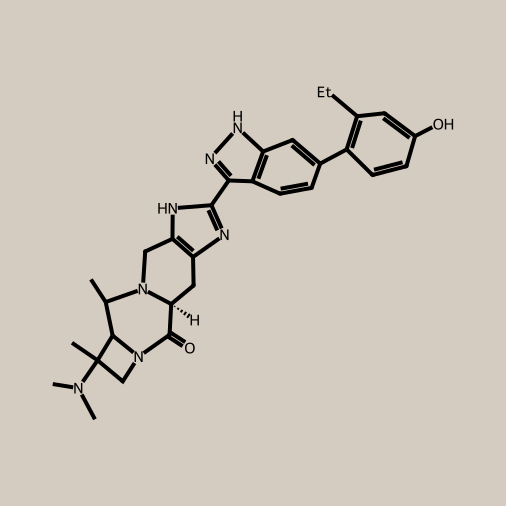 CCc1cc(O)ccc1-c1ccc2c(-c3nc4c([nH]3)CN3C(C)C5N(CC5(C)N(C)C)C(=O)[C@@H]3C4)n[nH]c2c1